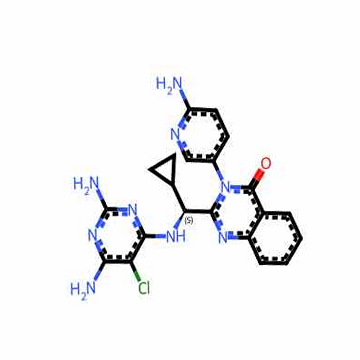 Nc1ccc(-n2c([C@@H](Nc3nc(N)nc(N)c3Cl)C3CC3)nc3ccccc3c2=O)cn1